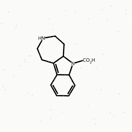 O=C(O)N1C2C=CC=CC2=C2CCNCCC21